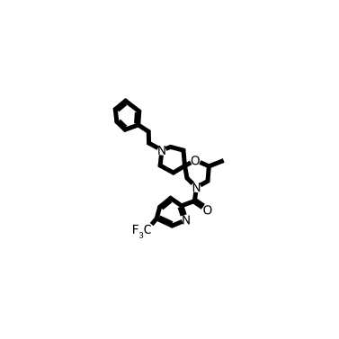 CC1CN(C(=O)c2ccc(C(F)(F)F)cn2)CC2(CCN(CCc3ccccc3)CC2)O1